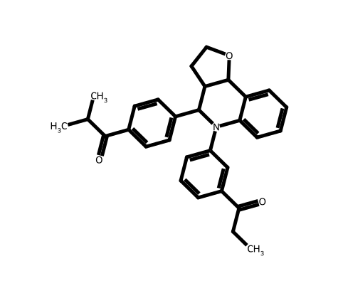 CCC(=O)c1cccc(N2c3ccccc3C3OCCC3C2c2ccc(C(=O)C(C)C)cc2)c1